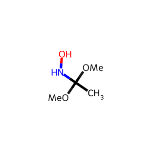 COC(C)(NO)OC